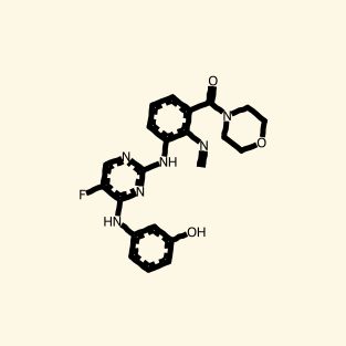 C=Nc1c(Nc2ncc(F)c(Nc3cccc(O)c3)n2)cccc1C(=O)N1CCOCC1